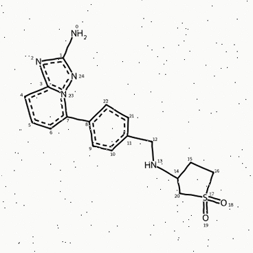 Nc1nc2cccc(-c3ccc(CNC4CCS(=O)(=O)C4)cc3)n2n1